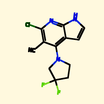 N#Cc1c(Cl)nc2[nH]ccc2c1N1CCC(F)(F)C1